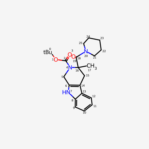 CC(C)(C)OC(=O)N1Cc2[nH]c3ccccc3c2CC1(C)C(=O)N1CCCCC1